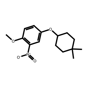 COc1ccc(OC2CCC(C)(C)CC2)cc1[N+](=O)[O-]